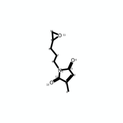 CC1=CC(=O)N(CCCC2CO2)C1=O